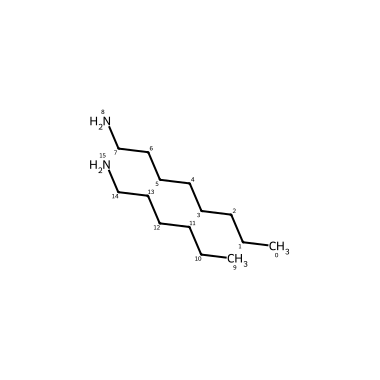 CCCCCCCCN.CCCCCCN